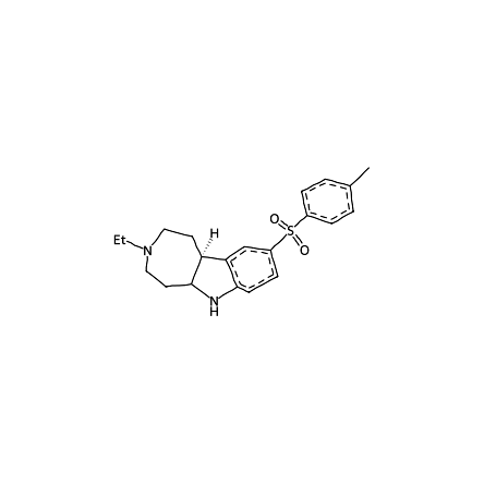 CCN1CCC2Nc3ccc(S(=O)(=O)c4ccc(C)cc4)cc3[C@@H]2CC1